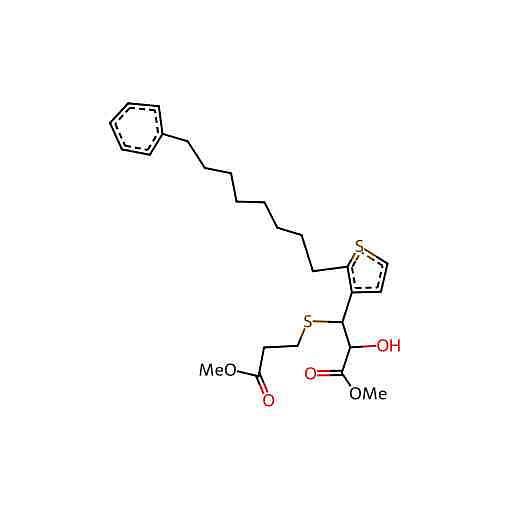 COC(=O)CCSC(c1ccsc1CCCCCCCCc1ccccc1)C(O)C(=O)OC